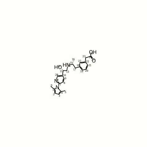 Cc1ccc(C)n1-c1ccc([C@H](O)CN[C@H](C)Cc2cccc(CC(=O)O)c2)cn1